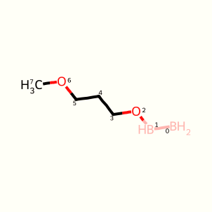 BBOCCCOC